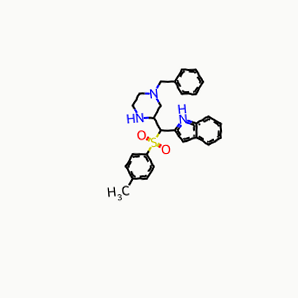 Cc1ccc(S(=O)(=O)C(c2cc3ccccc3[nH]2)C2CN(Cc3ccccc3)CCN2)cc1